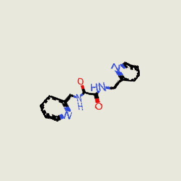 O=C(NCc1ccccn1)C(=O)NCc1ccccn1